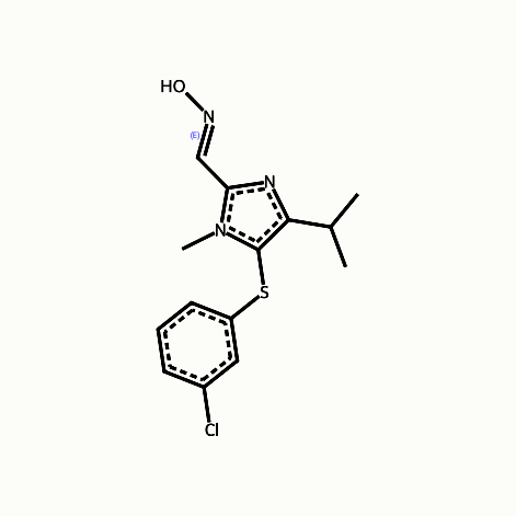 CC(C)c1nc(/C=N/O)n(C)c1Sc1cccc(Cl)c1